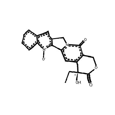 CC[C@@]1(O)C(=O)OCc2c1cc1n(c2=O)Cc2cc3ccccc3[n+]([O-])c2-1